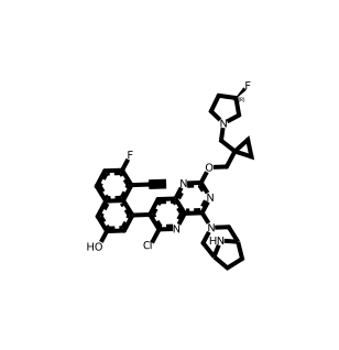 C#Cc1c(F)ccc2cc(O)cc(-c3cc4nc(OCC5(CN6CC[C@@H](F)C6)CC5)nc(N5CC6CCC(C5)N6)c4nc3Cl)c12